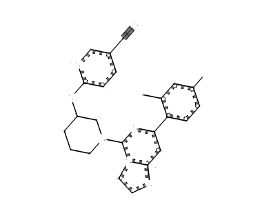 N#Cc1ccc(NC2CCCN(c3nc(-c4ccc(Cl)cc4Cl)cc4nccn34)C2)nc1